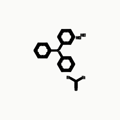 CCC(=O)CC.Cl.Cl.c1ccc(P(c2ccccc2)c2ccccc2)cc1